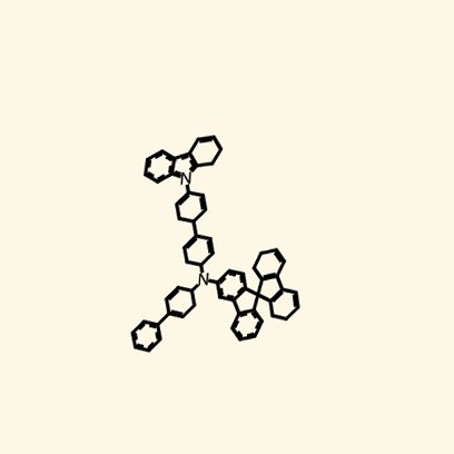 C1=CC2=C(CC1)C1(C3=C2C=CCC3)c2ccccc2-c2cc(N(C3C=CC(c4ccccc4)=CC3)C3C=CC(C4C=CC(n5c6c(c7ccccc75)C=CCC6)=CC4)=CC3)ccc21